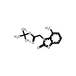 Cc1cccc2oc(=O)n(CC(=O)OC(C)(C)C)c12